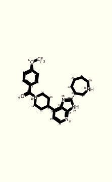 O=C(c1ccc(OC(F)(F)F)cc1)N1CCC(c2ccnc3[nH]c([C@@H]4CCCCNC4)nc23)CC1